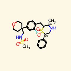 C[C@@H]1NC[C@@H](c2ccccc2)S(=O)(=O)C1Cc1ccc(C2(CNS(C)(=O)=O)CCOCC2)cc1F